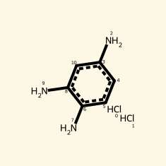 Cl.Cl.Nc1ccc(N)c(N)c1